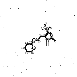 Cc1n[c]([Sn]([CH3])([CH3])[CH3])c(CCOC2CCCCO2)[nH]1